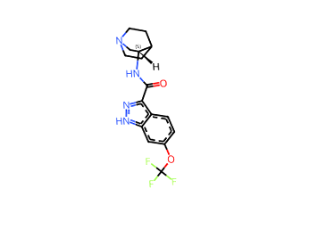 O=C(N[C@@H]1CN2CCC1CC2)c1n[nH]c2cc(OC(F)(F)F)ccc12